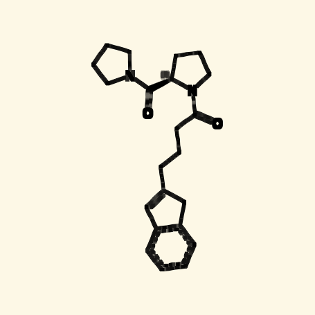 O=C([C@H]1CCCN1C(=O)CCCC1=Cc2ccccc2C1)N1CCCC1